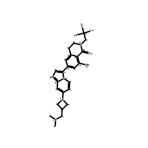 CN(C)CC1CN(c2ccn3c(-c4cc(O)c5c(c4)CCN(CC(F)(F)F)C5=O)cnc3c2)C1